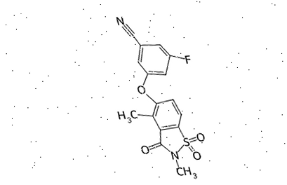 Cc1c(Oc2cc(F)cc(C#N)c2)ccc2c1C(=O)N(C)S2(=O)=O